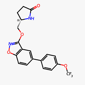 O=C1CC[C@@H](COc2noc3ccc(-c4ccc(OC(F)(F)F)cc4)cc23)N1